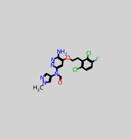 Cn1cc(N(C=O)c2cc(OCCc3c(Cl)ccc(F)c3Cl)c(N)nn2)cn1